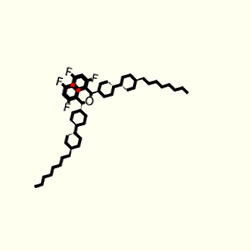 CCCCCCCC[C@H]1CC[C@H]([C@H]2CC[C@H](C(OC(c3ccc(F)cc3F)[C@H]3CC[C@H]([C@H]4CC[C@H](CCCCCCCC)CC4)CC3)c3ccc(F)cc3F)CC2)CC1